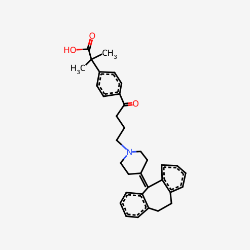 CC(C)(C(=O)O)c1ccc(C(=O)CCCN2CCC(=C3c4ccccc4CCc4ccccc43)CC2)cc1